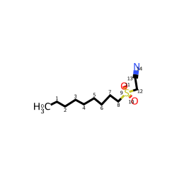 CCCCCCCCCS(=O)(=O)CC#N